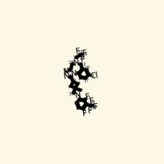 Fc1ccc(N2CC3(CC(c4nnc5n4-c4ccc(Cl)cc4CN(CC(F)(F)F)C5)C3)C2)c(F)c1C(F)(F)F